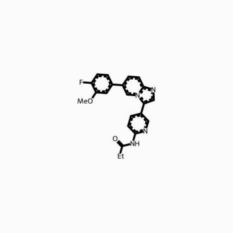 CCC(=O)Nc1ccc(-c2cnc3ccc(-c4ccc(F)c(OC)c4)cn23)cn1